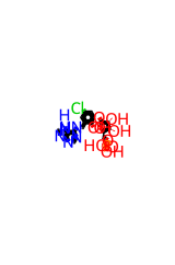 O=P(O)(O)OC[C@H]1OC(Oc2cc(Cl)cc(CNc3ncnc4nc[nH]c34)c2O)[C@H](O)[C@@H]1O